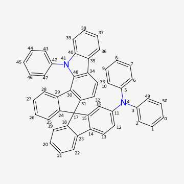 c1ccc(N(c2ccccc2)c2ccc3c(c2)C2(c4ccccc4-3)c3ccccc3-c3c2ccc2c4ccccc4n(-c4ccccc4)c32)cc1